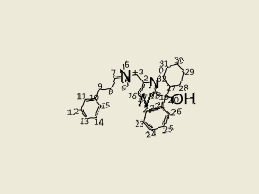 Cn1c(C[N+](C)(C)CCCc2ccccc2)cnc1C(O)(c1ccccc1)C1CCCCC1